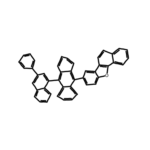 c1ccc(-c2cc(-c3c4ccccc4c(-c4ccc5oc6c7ccccc7ccc6c5c4)c4ccccc34)c3ccccc3c2)cc1